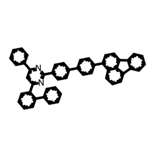 c1ccc(-c2cc(-c3ccccc3-c3ccccc3)nc(-c3ccc(-c4ccc(-c5ccc6c7c(cccc57)-c5ccccc5-6)cc4)cc3)n2)cc1